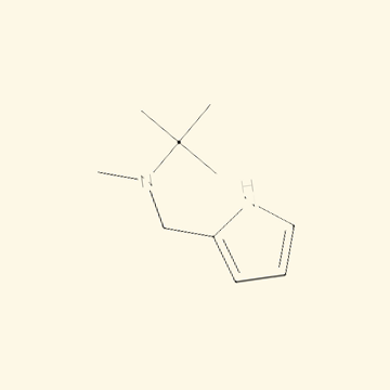 CN(Cc1ccc[nH]1)C(C)(C)C